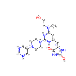 CN(CCO)c1cc(/C=C2/NC(=O)NC2=O)nc(N2CCN(c3cncnc3)CC2)n1